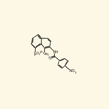 O=C(Nc1ccc2cccc(S(=O)(=O)O)c2c1O)c1ccc([N+](=O)[O-])cc1